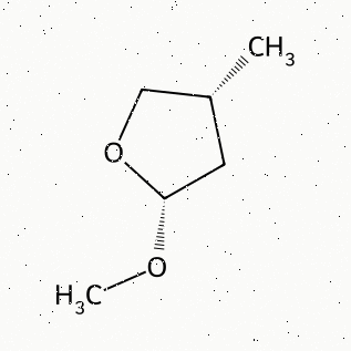 CO[C@H]1C[C@@H](C)CO1